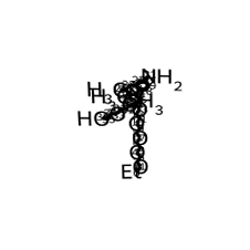 CCOCCOCCOCCOCCOC(CN1c2ccc(N)cc2CC(C)C1(C)C)OCCOCCO